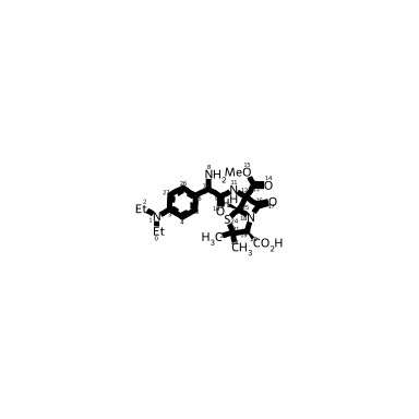 CCN(CC)c1ccc(C(N)C(=O)NC2(C(=O)OC)C(=O)N3[C@@H](C(=O)O)C(C)(C)S[C@@H]32)cc1